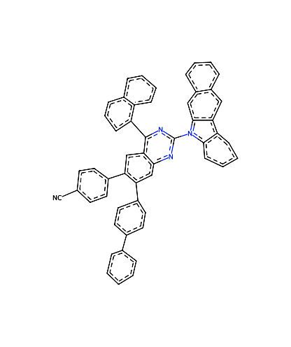 N#Cc1ccc(-c2cc3c(-c4cccc5ccccc45)nc(-n4c5ccccc5c5cc6ccccc6cc54)nc3cc2-c2ccc(-c3ccccc3)cc2)cc1